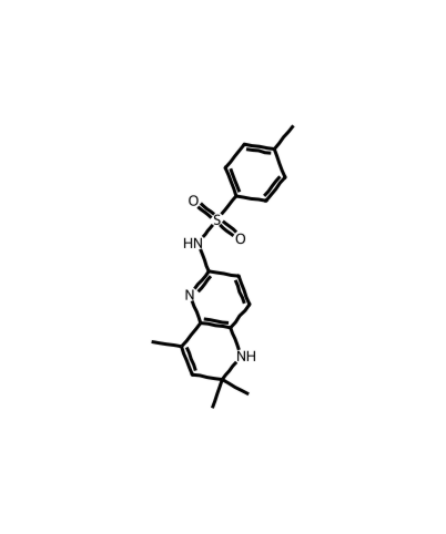 CC1=CC(C)(C)Nc2ccc(NS(=O)(=O)c3ccc(C)cc3)nc21